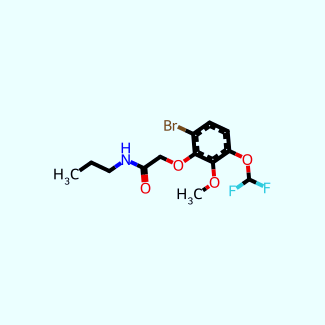 CCCNC(=O)COc1c(Br)ccc(OC(F)F)c1OC